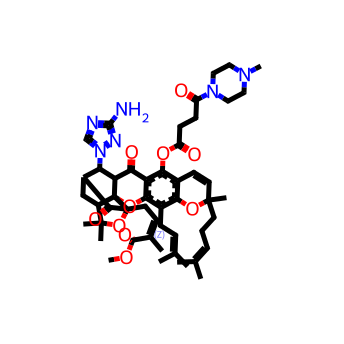 COC(=O)/C(C)=C\CC12OC(C)(C)C3CC(C1=O)C(n1cnc(N)n1)C1C(=O)c4c(OC(=O)CCC(=O)N5CCN(C)CC5)c5c(c(CC=C(C)C)c4OC132)OC(C)(CCC=C(C)C)C=C5